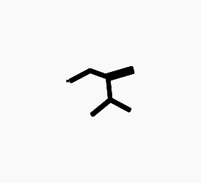 [CH2]CC(=C)C(C)C